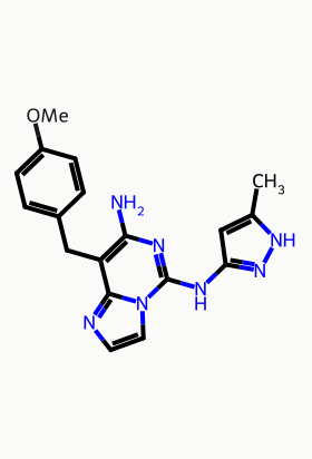 COc1ccc(Cc2c(N)nc(Nc3cc(C)[nH]n3)n3ccnc23)cc1